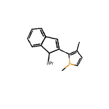 CCC[C]1C(c2c(C)ccp2C)=Cc2ccccc21